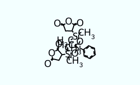 C[Si](O[Si](C)(C)C1CC(=O)OC1=O)(O[Si](C)(C)C1CC(=O)OC1=O)c1ccccc1